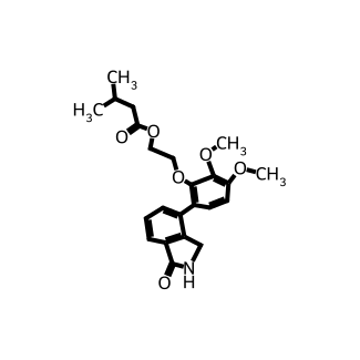 COc1ccc(-c2cccc3c2CNC3=O)c(OCCOC(=O)CC(C)C)c1OC